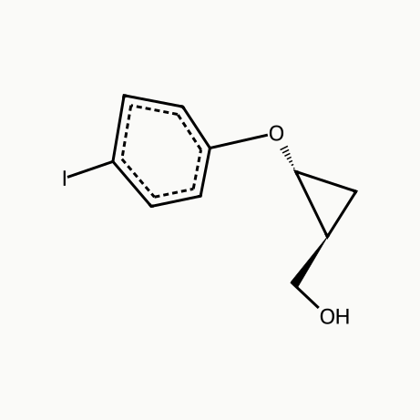 OC[C@@H]1C[C@H]1Oc1ccc(I)cc1